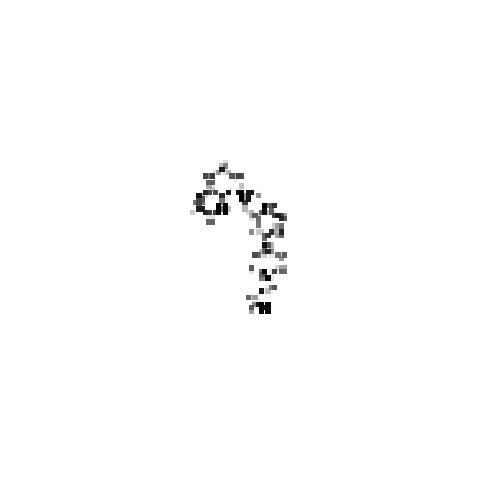 CN(Cc1cc(N2CCN(CCC#N)CC2)ncn1)C1CCCc2cccnc21